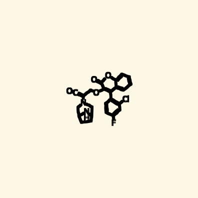 O=C=C(COc1c(-c2ccc(F)cc2Cl)c2ccccc2oc1=O)N1CC2CCC(C1)N2